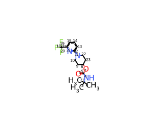 CC(C)(C)NC(=O)OC1CCN(c2cccc(C(F)(F)F)n2)CC1